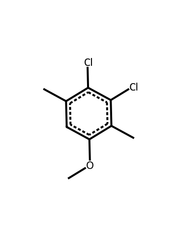 COc1cc(C)c(Cl)c(Cl)c1C